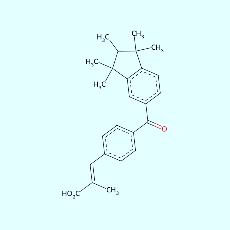 C/C(=C\c1ccc(C(=O)c2ccc3c(c2)C(C)(C)C(C)C3(C)C)cc1)C(=O)O